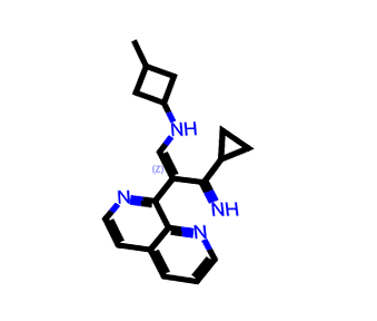 CC1CC(N/C=C(\C(=N)C2CC2)c2nccc3cccnc23)C1